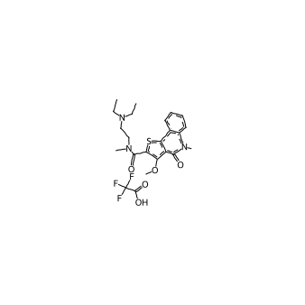 CCN(CC)CCN(C)C(=O)c1sc2c(c1OC)c(=O)n(C)c1ccccc21.O=C(O)C(F)(F)F